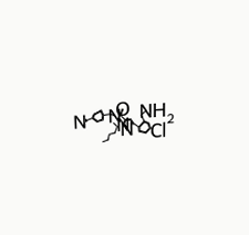 CCCCC1CN(Cc2ccc(C#N)cc2)C(=O)c2cc(-c3ccc(Cl)cc3CN)nn21